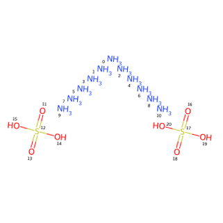 N.N.N.N.N.N.N.N.N.N.N.O=S(=O)(O)O.O=S(=O)(O)O